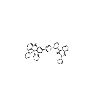 c1ccc(C2N=c3ccccc3=C(c3cccc(-c4ccc(-c5ccc6c(c5)Oc5ccccc5C6(c5ccccc5)c5ccccc5)cc4)c3)N2)cc1